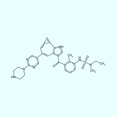 CCN(C)S(=O)(=O)Nc1cccc(C(=O)c2c[nH]c3c2C=C(c2cnc(N4CCNCC4)nc2)C=C2C=C23)c1C